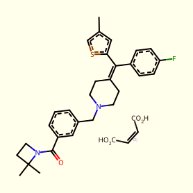 Cc1csc(C(=C2CCN(Cc3cccc(C(=O)N4CCC4(C)C)c3)CC2)c2ccc(F)cc2)c1.O=C(O)/C=C\C(=O)O